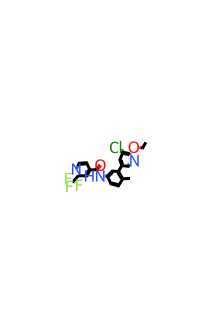 CCOc1ncc(-c2cc(NC(=O)c3ccnc(C(F)(F)F)c3)ccc2C)cc1Cl